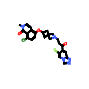 Cn1ccc2c(OC3CC4(C3)CN(CCC(=O)c3cc5nncn5cc3F)C4)ccc(Cl)c2c1=O